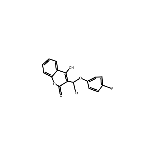 CCC(Oc1ccc(F)cc1)c1c(O)c2ccccc2oc1=O